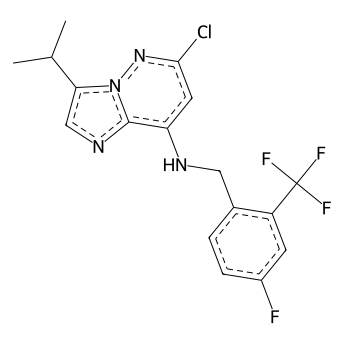 CC(C)c1cnc2c(NCc3ccc(F)cc3C(F)(F)F)cc(Cl)nn12